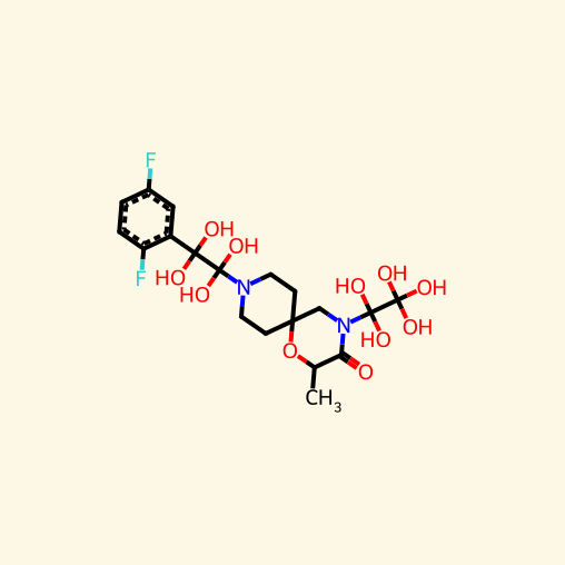 CC1OC2(CCN(C(O)(O)C(O)(O)c3cc(F)ccc3F)CC2)CN(C(O)(O)C(O)(O)O)C1=O